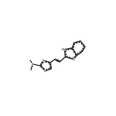 CN(C)c1ncc(/C=C/c2nc3ccccc3[nH]2)s1